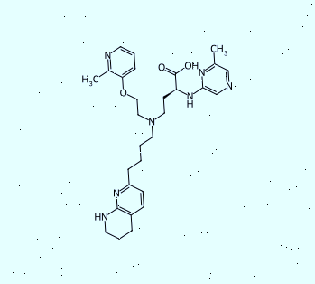 Cc1cncc(N[C@@H](CCN(CCCCc2ccc3c(n2)NCCC3)CCOc2cccnc2C)C(=O)O)n1